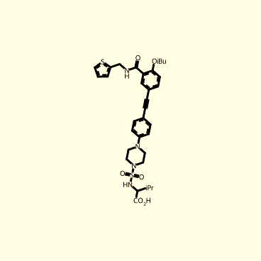 CC(C)COc1ccc(C#Cc2ccc(N3CCN(S(=O)(=O)NC(C(=O)O)C(C)C)CC3)cc2)cc1C(=O)NCc1cccs1